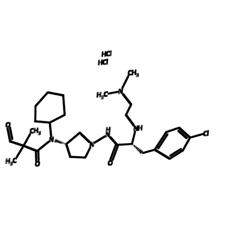 CN(C)CCN[C@H](Cc1ccc(Cl)cc1)C(=O)NN1CC[C@H](N(C(=O)C(C)(C)C=O)C2CCCCC2)C1.Cl.Cl